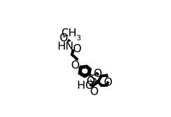 COCNC(=O)CCOc1ccc(S(=O)(=O)C2(C(=O)O)CCOCC2)cc1